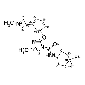 Cc1cn(C(=O)NC2CCC(F)(F)CC2)c(Oc2cccc(C3CN(C)C3)c2)n1